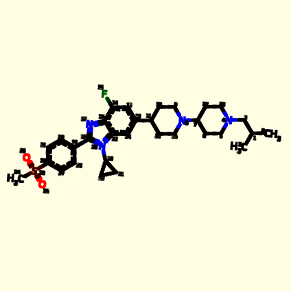 CC(C)CN1CCC(N2CCC(c3cc(F)c4nc(-c5ccc(S(C)(=O)=O)cc5)n(C5CC5)c4c3)CC2)CC1